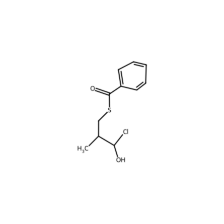 CC(CSC(=O)c1ccccc1)C(O)Cl